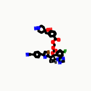 C[C@@H](c1nc(-c2ccc(C#N)cc2)cs1)[C@@](Cn1cncn1)(OC(=O)OCOC(=O)c1cccc(CC2(O)CCNCC2)c1)c1ccc(F)cc1F